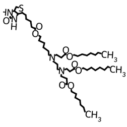 CCCCCCCCOC(=O)CCN(CCCCCCOC(=O)CCCCC1SCC2NC(=O)NC21)CCCN(CCC(=O)OCCCCCCCC)CCC(=O)OCCCCCCCC